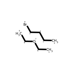 CCCCBr.CCOCC